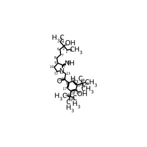 CCC(O)(CC)CCCC1CCN(CC(=O)c2cc(C(C)(C)C)c(O)c(C(C)(C)C)c2)C1=N